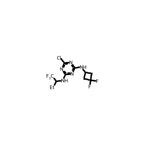 CCC(Nc1nc(Cl)nc(NC2CC(F)(F)C2)n1)C(F)(F)F